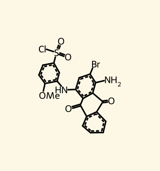 COc1ccc(S(=O)(=O)Cl)cc1Nc1cc(Br)c(N)c2c1C(=O)c1ccccc1C2=O